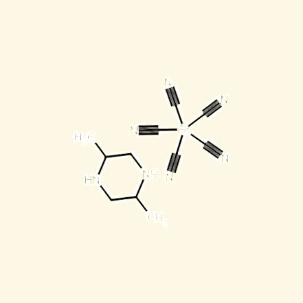 CC1CNC(C)CN1.N#[C][Fe]([C]#N)([C]#N)([C]#N)[C]#N